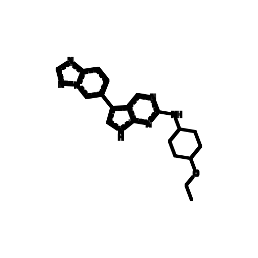 CCOC1CCC(Nc2ncc3c(-c4ccc5ncnn5c4)c[nH]c3n2)CC1